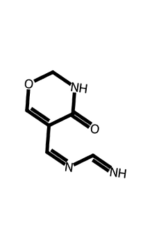 N=C/N=C\C1=COCNC1=O